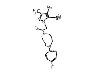 CC(C)(C)c1c(Br)c(C(F)(F)F)nn1CC(=O)N1CCN(c2ccc(F)cc2)CC1